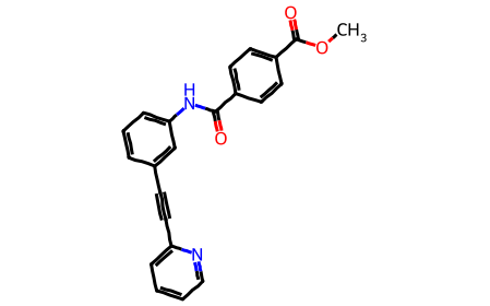 COC(=O)c1ccc(C(=O)Nc2cccc(C#Cc3ccccn3)c2)cc1